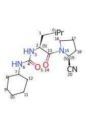 CC(C)C[C@H](NC(=O)NC1CCCCC1)C(=O)N1CCC[C@H]1C#N